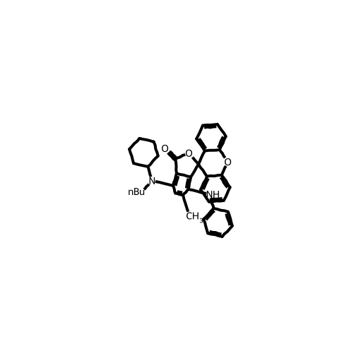 CCCCN(c1cc(C)c(Nc2ccccc2)c2c1C(=O)OC21c2ccccc2Oc2ccccc21)C1CCCCC1